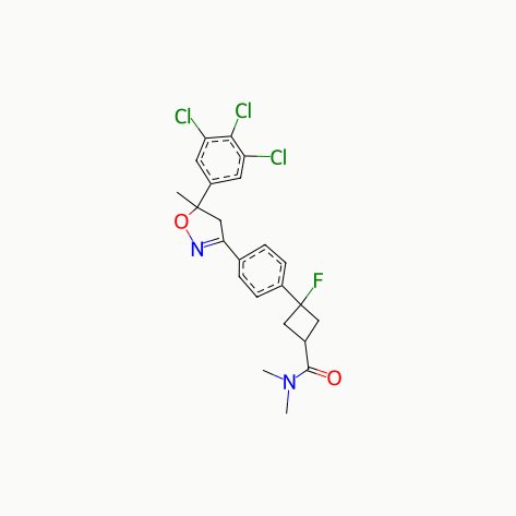 CN(C)C(=O)C1CC(F)(c2ccc(C3=NOC(C)(c4cc(Cl)c(Cl)c(Cl)c4)C3)cc2)C1